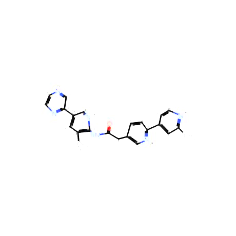 Cc1cc(-c2ccc(CC(=O)Nc3ncc(-c4cnccn4)cc3C)cn2)ccn1